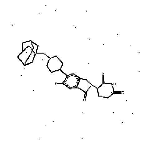 O=C1CCC(N2Cc3cc(C4CCN(CC56CC7CC(CC(C7)C5)C6)CC4)c(F)cc3C2=O)C(=O)N1